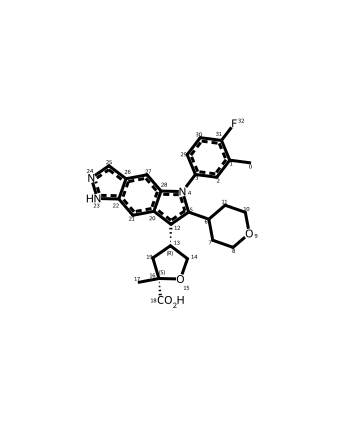 Cc1cc(-n2c(C3CCOCC3)c([C@@H]3CO[C@](C)(C(=O)O)C3)c3cc4[nH]ncc4cc32)ccc1F